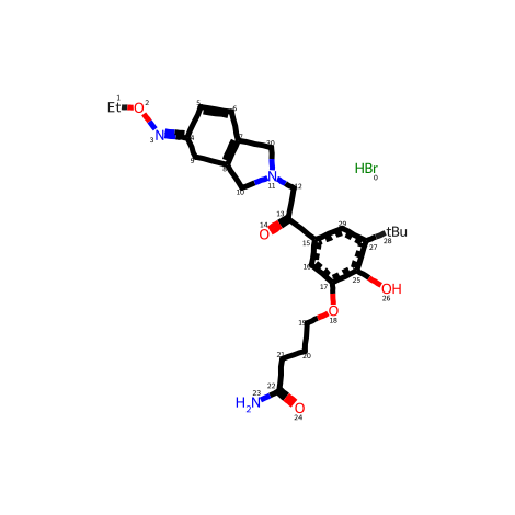 Br.CCON=C1C=CC2=C(C1)CN(CC(=O)c1cc(OCCCC(N)=O)c(O)c(C(C)(C)C)c1)C2